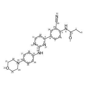 CCC(=O)Nc1ccc(-c2ccnc(Nc3ccc(N4CCOCC4)cc3)n2)cc1C#N